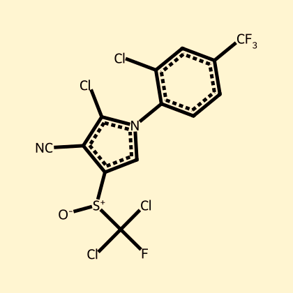 N#Cc1c([S+]([O-])C(F)(Cl)Cl)cn(-c2ccc(C(F)(F)F)cc2Cl)c1Cl